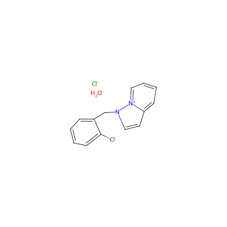 Clc1ccccc1Cn1ccc2cccc[n+]21.O.[Cl-]